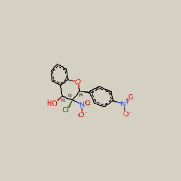 O=[N+]([O-])c1ccc([C@@H]2Oc3ccccc3[C@H](O)[C@@]2(Cl)[N+](=O)[O-])cc1